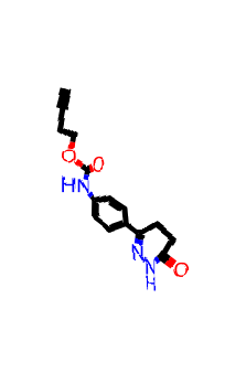 C#CCCOC(=O)Nc1ccc(C2=NNC(=O)CC2)cc1